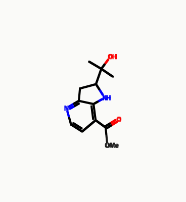 COC(=O)c1ccnc2c1NC(C(C)(C)O)C2